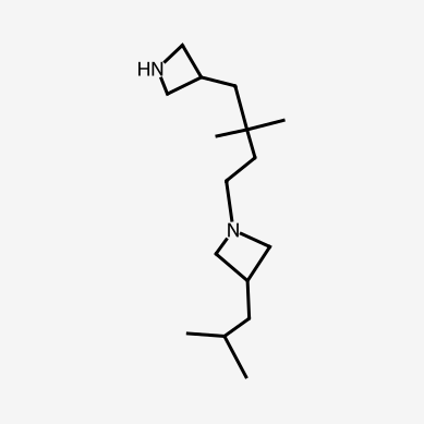 CC(C)CC1CN(CCC(C)(C)CC2CNC2)C1